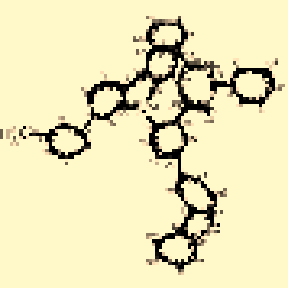 Cc1cccc(-c2ccc3c4ccccc4n(-c4ccc(-c5ccc6oc7ccccc7c6c5)cc4-c4nc(-c5ccccc5)nc(-c5ccccc5)n4)c3c2)c1